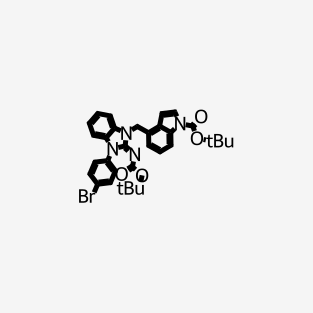 CC(C)(C)OC(=O)N=c1n(Cc2cccc3c2ccn3C(=O)OC(C)(C)C)c2ccccc2n1-c1ccc(Br)cc1